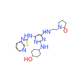 O=C1CCCN1CCNCc1cc(Nc2nc3cccnc3s2)nc(NC2CCC(O)CC2)n1